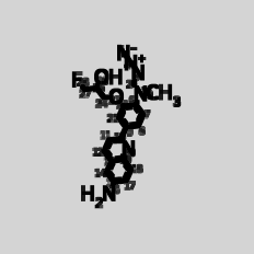 CN(CN=[N+]=[N-])c1ccc(-c2ccc3cc(N)ccc3n2)cc1OCC(O)CF